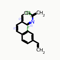 C=Cc1ccc(\C=C/C(/C=N\C(=C)Cl)=C/C)c(F)c1